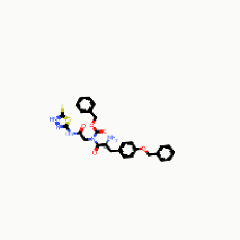 N[C@@H](Cc1ccc(OCc2ccccc2)cc1)C(=O)N(CC(=O)Nc1n[nH]c(=S)s1)C(=O)OCc1ccccc1